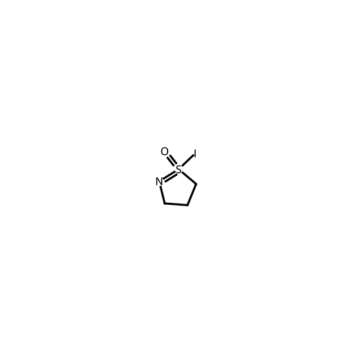 O=S1(I)=NCCC1